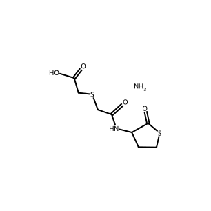 N.O=C(O)CSCC(=O)NC1CCSC1=O